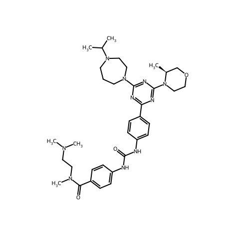 CC(C)N1CCCN(c2nc(-c3ccc(NC(=O)Nc4ccc(C(=O)N(C)CCN(C)C)cc4)cc3)nc(N3CCOC[C@@H]3C)n2)CC1